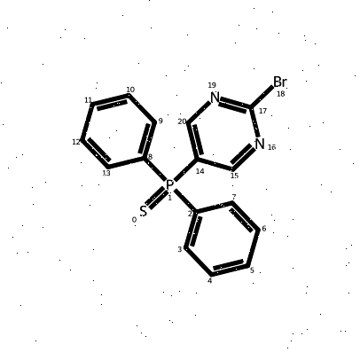 S=P(c1ccccc1)(c1ccccc1)c1cnc(Br)nc1